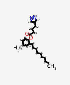 CCCCCCCCCCc1cc(C)ccc1OC(=O)CCCC1=C[N]N=C1